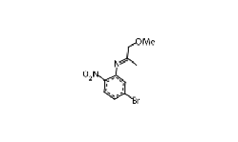 COC/C(C)=N/c1cc(Br)ccc1[N+](=O)[O-]